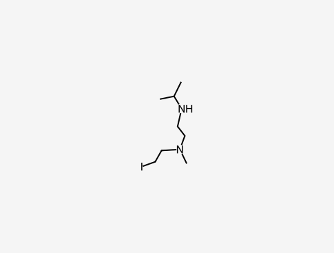 CC(C)NCCN(C)CCI